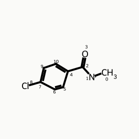 C[N]C(=O)c1ccc(Cl)cc1